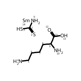 NC(=S)S.NCCCCC(N)C(=O)O.[Sm]